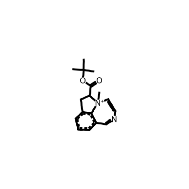 CC(C)(C)OC(=O)C1Cc2cccc3c2[N+]1(C)C=CN=C3